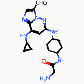 NCC(=O)N[C@H]1CC[C@H](Nc2cc(NC3CC3)c3ncc(C=O)n3n2)CC1